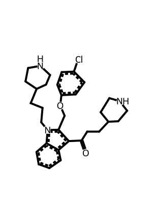 O=C(CCC1CCNCC1)c1c(COc2ccc(Cl)cc2)n(CCCC2CCNCC2)c2ccccc12